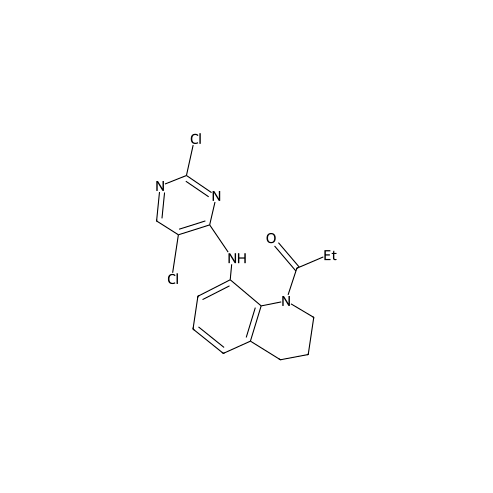 CCC(=O)N1CCCc2cccc(Nc3nc(Cl)ncc3Cl)c21